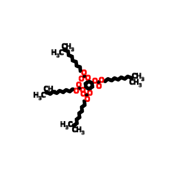 CC(C)CCCCCCCCOC(=O)OC1CC(OC(=O)OCCCCCCCCC(C)C)C(OC(=O)OCCCCCCCCC(C)C)CC1OC(=O)OCCCCCCCCC(C)C